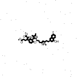 COC(=O)CCc1c(C(=O)OC)[nH]c2c(-c3c(C)c(C)nn3CCCc3cc(CCc4cc(O)c5ccc(F)cc5c4)n(C)n3)c(Cl)ccc12